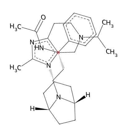 CC(=O)N[C@@H](CCN1[C@@H]2CC[C@H]1C[C@@H](n1c(C)nc3c1CN(C(C)C)CC3)C2)c1ccccc1